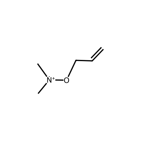 C=CCO[N+](C)C